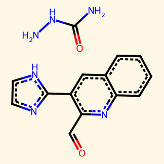 NNC(N)=O.O=Cc1nc2ccccc2cc1-c1ncc[nH]1